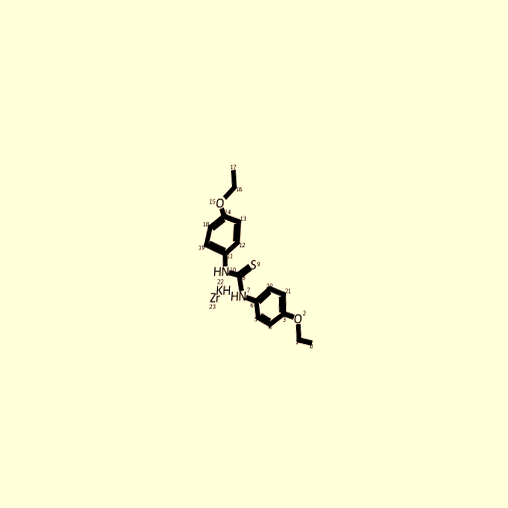 CCOc1ccc(NC(=S)Nc2ccc(OCC)cc2)cc1.[KH].[Zr]